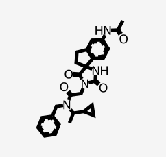 CC(=O)Nc1ccc2c(c1)CCC21NC(=O)N(CC(=O)N(Cc2ccccc2)C(C)C2CC2)C1=O